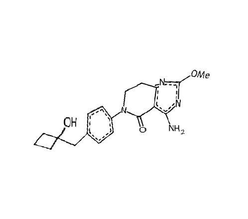 COc1nc(N)c2c(n1)CCN(c1ccc(CC3(O)CCC3)cc1)C2=O